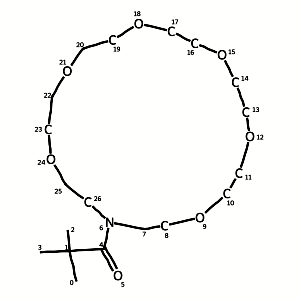 CC(C)(C)C(=O)N1CCOCCOCCOCCOCCOCCOCC1